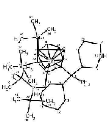 CC(C)(C)P(C[C]12[C]3(C(P)(C4CCCNC4)C4CCCNC4)[CH]4[C]5([Si](C)(C)C)[C]1([Si](C)(C)C)[Fe]42351678[CH]2[CH]1[CH]6[CH]7[CH]28)C(C)(C)C